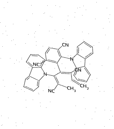 C=C/C(C#N)=C(\C(=C(/C)C#N)n1c2ccccc2c2ccccc21)c1c(C#N)ccc(C#N)c1-n1c2ccccc2c2ccccc21